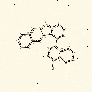 Clc1ccc(-c2cccc3oc4cc5ccccc5cc4c23)c2ccccc12